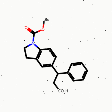 CC(C)(C)OC(=O)N1CCc2cc(C(CC(=O)O)c3ccccc3)ccc21